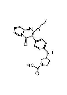 CCCOc1nc2ccccn2c(=O)c1-c1ccc(NC2CCN(C(=O)O)C2)cc1